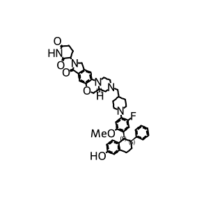 COc1cc(N2CCC(CN3CCN4c5cc6c(cc5OC[C@@H]4C3)C(=O)N(C3CCC(=O)NC3=O)C6)CC2)c(F)cc1[C@@H]1c2ccc(O)cc2CC[C@@H]1c1ccccc1